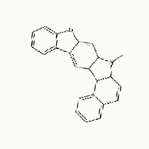 CN1C2C=c3oc4ccccc4c3=CC2C2c3ccccc3C=CC21